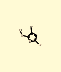 CCOc1sc(Br)cc1Br